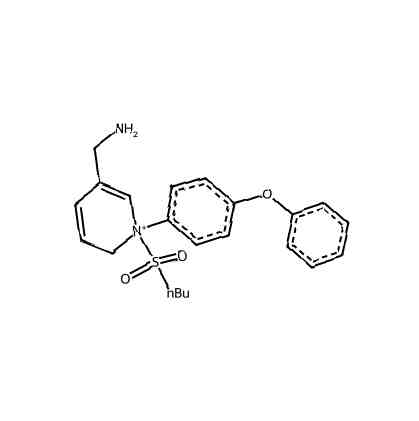 CCCCS(=O)(=O)[N+]1(c2ccc(Oc3ccccc3)cc2)C=C(CN)C=CC1